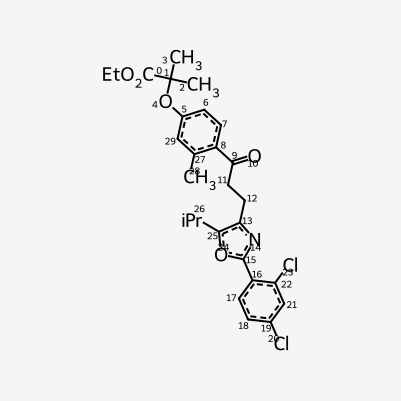 CCOC(=O)C(C)(C)Oc1ccc(C(=O)CCc2nc(-c3ccc(Cl)cc3Cl)oc2C(C)C)c(C)c1